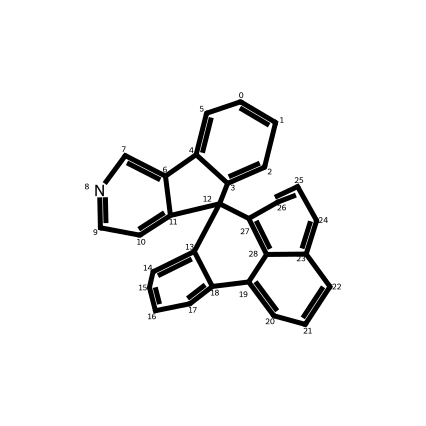 c1ccc2c(c1)-c1cnccc1C21c2ccccc2-c2cccc3cccc1c23